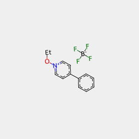 CCO[n+]1ccc(-c2ccccc2)cc1.F[B-](F)(F)F